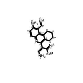 CC(C)(C)C(=N)/C(=C\N)c1nc2ccc(N)c(C=N)c2c2c1CCCC2